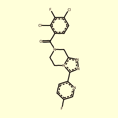 O=C(c1ccc(Cl)c(F)c1Cl)N1CCn2c(nnc2-c2ccc(F)cn2)C1